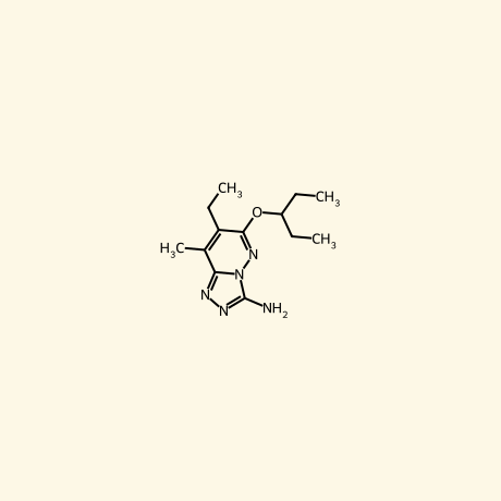 CCc1c(OC(CC)CC)nn2c(N)nnc2c1C